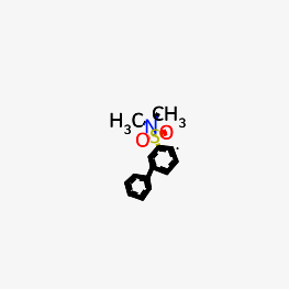 CN(C)S(=O)(=O)c1[c]ccc(-c2ccccc2)c1